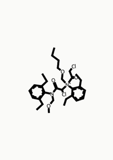 CCCCOC[N+](C(=O)CCl)(c1c(CC)cccc1CC)C(Cl)C(=O)N(COC)c1c(CC)cccc1CC